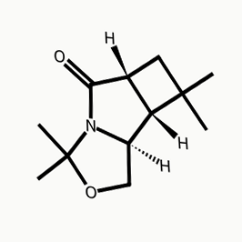 CC1(C)C[C@H]2C(=O)N3[C@H](COC3(C)C)[C@H]21